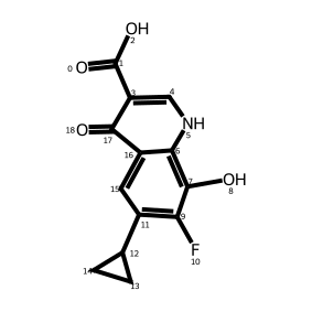 O=C(O)c1c[nH]c2c(O)c(F)c(C3CC3)cc2c1=O